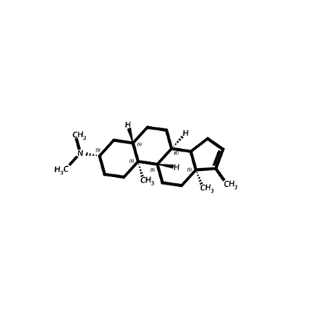 CC1=CCC2[C@@H]3CC[C@H]4C[C@@H](N(C)C)CC[C@]4(C)[C@H]3CC[C@]12C